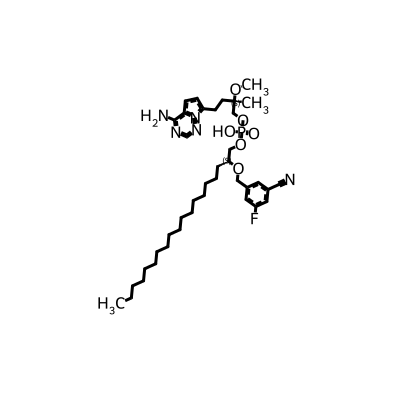 CCCCCCCCCCCCCCCCC[C@@H](COP(=O)(O)OC[C@](C)(CCc1ccc2c(N)ncnn12)OC)OCc1cc(F)cc(C#N)c1